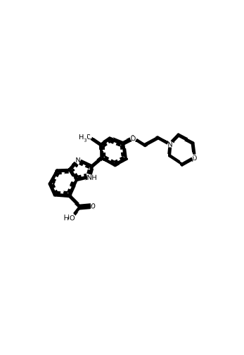 Cc1cc(OCCN2CCOCC2)ccc1-c1nc2cccc(C(=O)O)c2[nH]1